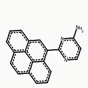 Nc1ccnc(-c2cc3cccc4ccc5cccc2c5c43)n1